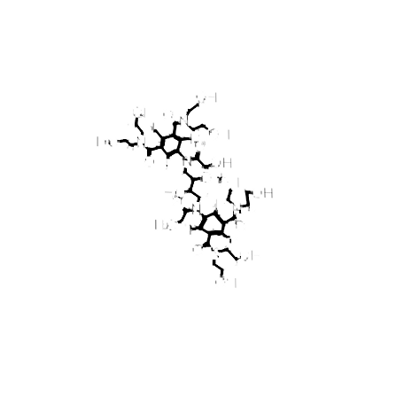 O=C(c1c(I)c(C(=O)N(CCO)CCO)c(I)c(N(CC(O)C(O)CN(C(=O)CO)c2c(I)c(C(=O)N(CCO)CCO)c(I)c(C(=O)N(CCO)CCO)c2I)C(=O)CO)c1I)N(CCO)CCO